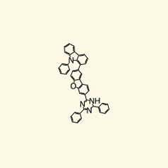 c1ccc(C2=NC(c3ccccc3)NC(c3ccc4c(c3)oc3ccc(-c5cccc6c7ccccc7n(-c7ccccc7)c56)cc34)=N2)cc1